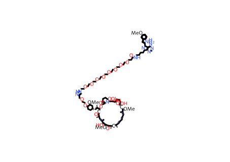 COc1ccc2[nH]c(C3=NC(CCCCNC(=O)CCOCCOCCOCCOCCOCCOCCOCCOCCn4cc(COCCO[C@@H]5CC[C@@H](C[C@@H](C)[C@@H]6CC(=O)[C@H](C)/C=C(\C)[C@@H](O)[C@@H](OC)C(=O)[C@H](C)C[C@H](C)/C=C/C=C/C=C(\C)[C@@H](OC)C[C@]7(O)CC[C@@H](C)[C@@](O)(O7)C(=O)C(=O)N7CCCC[C@H]7C(=O)O6)C[C@H]5OC)nn4)c4ncnc(N)c43)cc2c1